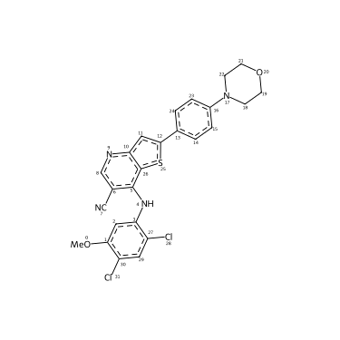 COc1cc(Nc2c(C#N)cnc3cc(-c4ccc(N5CCOCC5)cc4)sc23)c(Cl)cc1Cl